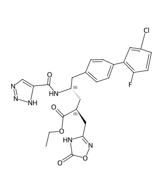 CCOC(=O)[C@H](Cc1noc(=O)[nH]1)C[C@@H](Cc1ccc(-c2cc(Cl)ccc2F)cc1)NC(=O)c1cnn[nH]1